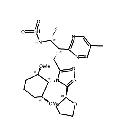 CO[C@H]1CCC[C@@H](OC)[C@@H]1n1c(C[C@@H](c2ncc(C)cn2)[C@@H](C)N[SH](=O)=O)nnc1[C@@H]1CCCO1